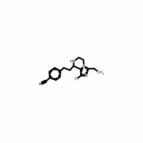 CCc1nc(Cl)c2n1CCNC2CCc1ccc(C#N)cc1